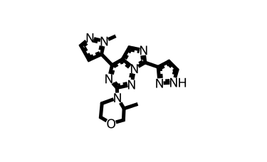 CC1COCCN1c1nc(-c2ccnn2C)c2cnc(-c3cc[nH]n3)n2n1